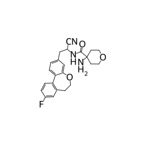 N#CC(Cc1ccc2c(c1)OCCc1cc(F)ccc1-2)NC(=O)C1(N)CCOCC1